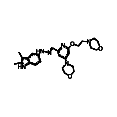 Cc1[nH]c2ccc(N/N=C/c3cc(N4CCOCC4)cc(OCCN4CCOCC4)n3)cc2c1C